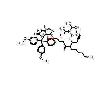 COc1ccc(C(c2ccccc2)(c2ccc(OC)cc2)N2C(=O)N[C@H]3CS[C@@H](CCCCC(=O)C(CCCCCN)C(CC#N)OP(O)N(C(C)C)C(C)C)[C@H]32)cc1